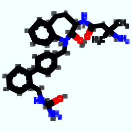 CC(C)(N)CC(=O)N[C@@H]1CCc2ccccc2N(Cc2ccc(-c3ccccc3CNC(N)=O)cc2)C1=O